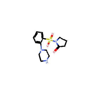 O=C1CCCN1S(=O)(=O)c1ccccc1N1CCNCC1